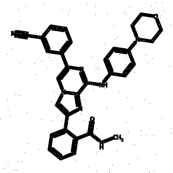 CNC(=O)c1ccccc1-c1cn2cc(-c3cccc(C#N)c3)nc(Nc3ccc(N4CCOCC4)cc3)c2n1